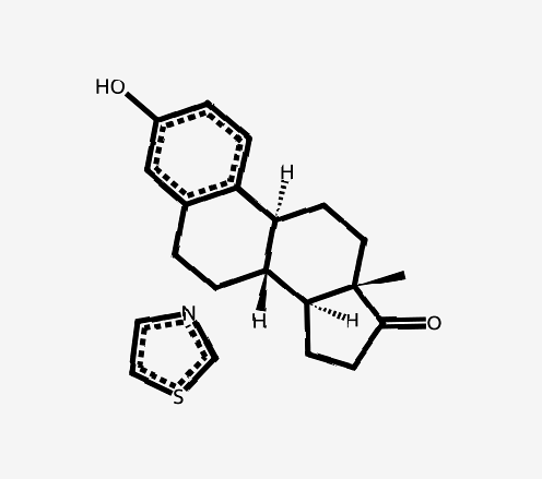 C[C@]12CC[C@@H]3c4ccc(O)cc4CC[C@H]3[C@@H]1CCC2=O.c1cscn1